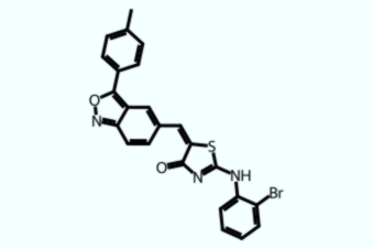 Cc1ccc(-c2onc3ccc(C=C4SC(Nc5ccccc5Br)=NC4=O)cc23)cc1